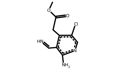 COC(=O)Cc1c(Cl)cnc(N)c1C=N